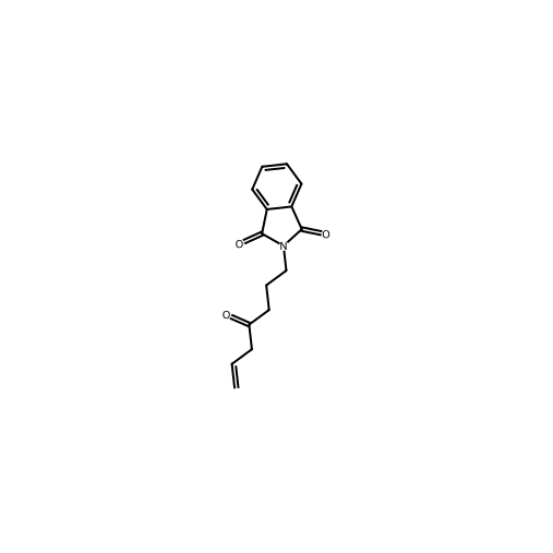 C=CCC(=O)CCCN1C(=O)c2ccccc2C1=O